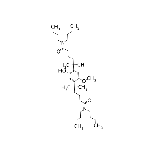 CCCCN(CCCC)C(=O)CCCC(C)(C)c1cc(OC)c(C(C)(C)CCCC(=O)N(CCCC)CCCC)cc1O